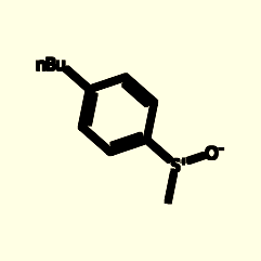 C[CH]CCc1ccc([S+](C)[O-])cc1